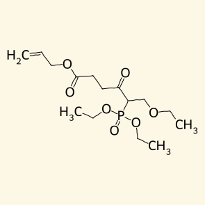 C=CCOC(=O)CCC(=O)C(COCC)P(=O)(OCC)OCC